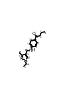 CCCC(=O)c1ccc(NCc2cn(CC)nc2C)cc1